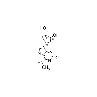 CNc1nc(Cl)nc2c1ncn2[C@H]1C[C@H](O)[C@]2(CO)CC12